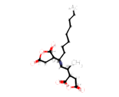 CC(=O)CCCCCCC/C(=C\C(C)C1CC(=O)OC1=O)C1CC(=O)OC1=O